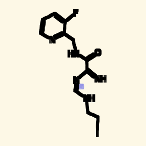 N=C(/N=C\NCCI)C(=O)NCc1ncccc1F